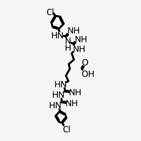 N=C(NCCCCCCNC(=N)NC(=N)Nc1ccc(Cl)cc1)NC(=N)Nc1ccc(Cl)cc1.O=CO